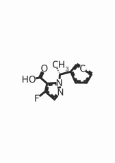 C[C@H](c1ccccc1)n1ncc(F)c1C(=O)O